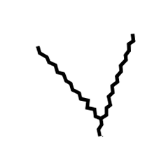 [CH2]CCC(CCCCCCCCCCCCCCCC)CCCCCCCCCCCCCCCC